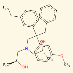 O[C@H](CN(C[C@H](O)C(F)(F)F)CC(Cc1ccccc1)(c1cccc(CC(F)(F)F)c1)c1cccc(OC(F)(F)F)c1)C(F)(F)F